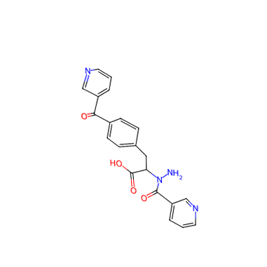 NN(C(=O)c1cccnc1)C(Cc1ccc(C(=O)c2cccnc2)cc1)C(=O)O